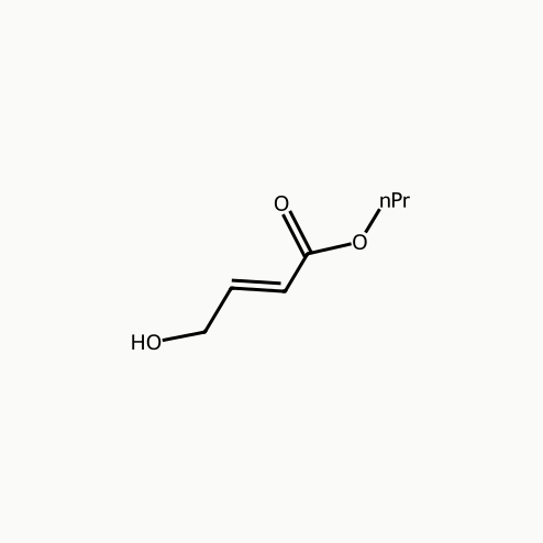 CCCOC(=O)C=CCO